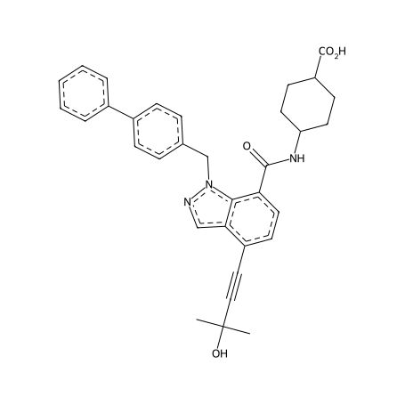 CC(C)(O)C#Cc1ccc(C(=O)NC2CCC(C(=O)O)CC2)c2c1cnn2Cc1ccc(-c2ccccc2)cc1